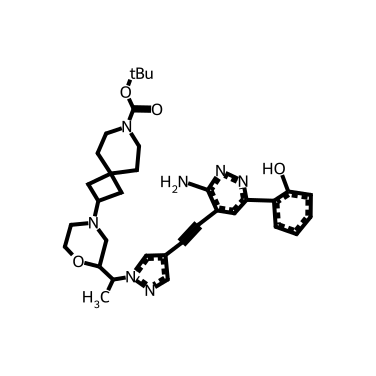 CC(C1CN(C2CC3(CCN(C(=O)OC(C)(C)C)CC3)C2)CCO1)n1cc(C#Cc2cc(-c3ccccc3O)nnc2N)cn1